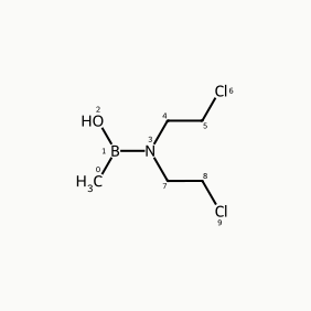 CB(O)N(CCCl)CCCl